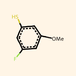 COc1cc(F)cc(S)c1